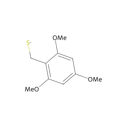 COc1cc(OC)c(C[S])c(OC)c1